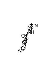 CN(C)C1CCN(Cc2cc3cc(C#CCNc4ccc(C(C)(C)C#N)nc4)n(CC(F)(F)F)c3cn2)CC1